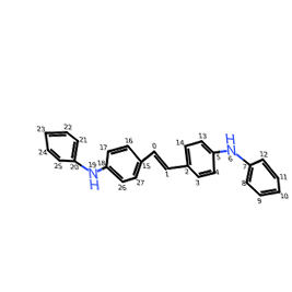 C(=Cc1ccc(Nc2ccccc2)cc1)c1ccc(Nc2ccccc2)cc1